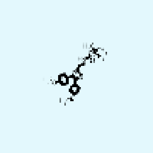 COc1ccc(-c2nnc(CCNC(=O)OC(C)(C)C)nc2-c2ccc(OC)cc2)cc1